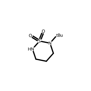 CC(C)(C)N1CCCNS1(=O)=O